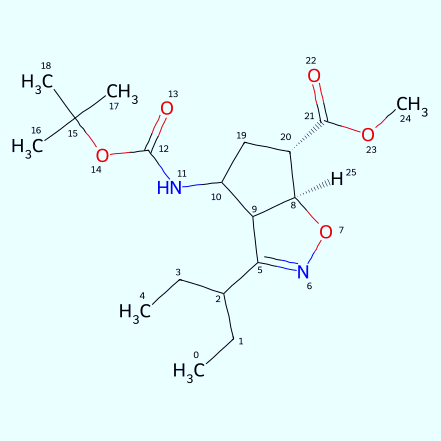 CCC(CC)C1=NO[C@H]2C1C(NC(=O)OC(C)(C)C)C[C@@H]2C(=O)OC